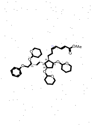 COC(=O)C=C/C=C\CC[C@@H]1[C@@H](CC[C@H](COc2ccccc2)OC2CCCCO2)[C@H](OC2CCCCO2)C[C@@H]1OC1CCCCO1